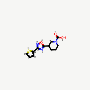 O=C(O)N1CCCC(c2nc(-c3cccs3)no2)C1